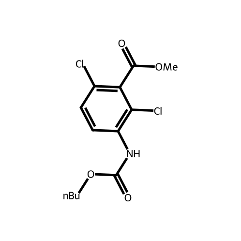 CCCCOC(=O)Nc1ccc(Cl)c(C(=O)OC)c1Cl